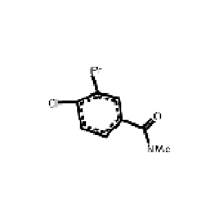 CNC(=O)c1ccc(Cl)c(C(C)C)c1